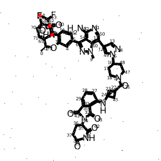 C[C@H](Oc1cc(-c2nn(C)c3c(-c4cnn(C5CCN(C(=O)C67CC(Nc8cccc9c8C(=O)N(C8CCC(=O)NC8=O)C9=O)(C6)C7)CC5)c4)cnc(N)c23)ccc1NS(=O)(=O)C(F)F)c1ccc(F)cc1